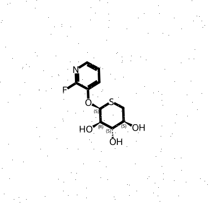 O[C@@H]1[C@@H](O)[C@@H](Oc2cccnc2F)SC[C@H]1O